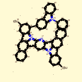 CC(C)(C)c1ccc2c(c1)c1cc3ccccc3c3c4nc5c(cc4n2c13)c1c2ccccc2cc2c3cc(C(C)(C)C)cc(-c4ccc6c(c4)c4ccccc4n6-c4ccccc4)c3n5c21